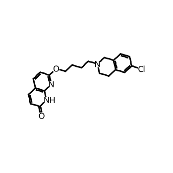 O=c1ccc2ccc(OCCCCN3CCc4cc(Cl)ccc4C3)nc2[nH]1